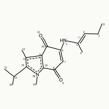 CC/C=C(\C)NC1=CC(=O)c2c(c(C)c(C(C)C)n2C)C1=O